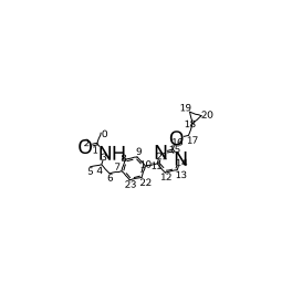 CC(=O)NC(C)Cc1ccc(-c2ccnc(OCC3CC3)n2)cc1